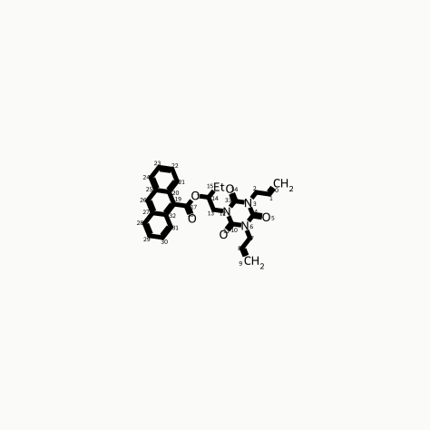 C=CCn1c(=O)n(CC=C)c(=O)n(CC(CC)OC(=O)c2c3ccccc3cc3ccccc23)c1=O